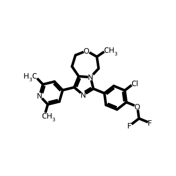 Cc1cc(-c2nc(-c3ccc(OC(F)F)c(Cl)c3)n3c2CCOC(C)C3)cc(C)n1